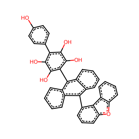 Oc1ccc(-c2c(O)c(O)c(-c3c4ccccc4c(-c4cccc5oc6ccccc6c45)c4ccccc34)c(O)c2O)cc1